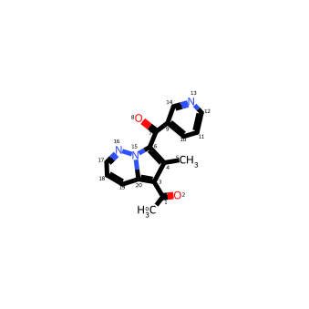 CC(=O)c1c(C)c(C(=O)c2cccnc2)n2ncccc12